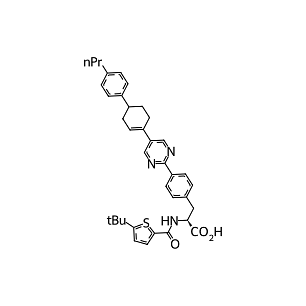 CCCc1ccc(C2CC=C(c3cnc(-c4ccc(C[C@H](NC(=O)c5ccc(C(C)(C)C)s5)C(=O)O)cc4)nc3)CC2)cc1